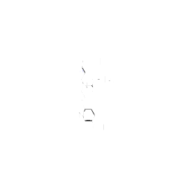 CCOC(=O)/C=C/CN(CCOc1ccc(C)cn1)C(=O)OC(C)(C)C